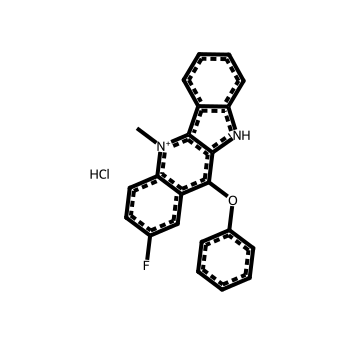 C[n+]1c2ccc(F)cc2c(Oc2ccccc2)c2[nH]c3ccccc3c21.Cl